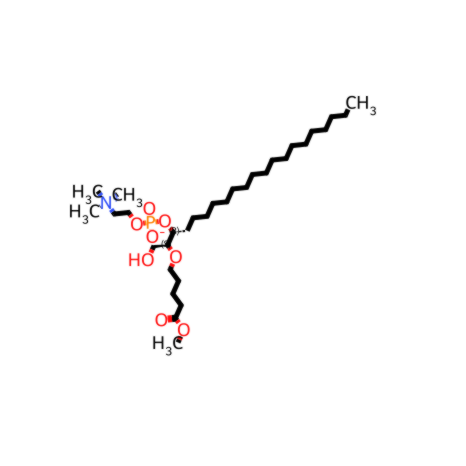 CCCCCCCCCCCCCCCCCC[C@@H](OP(=O)([O-])OCC[N+](C)(C)C)[C@H](CO)OCCCCC(=O)OC